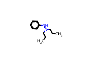 CCCN(CCC)Nc1ccccc1